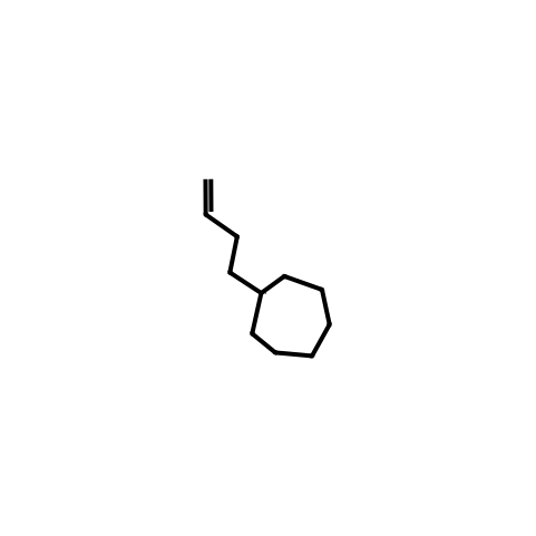 C=CCC[C]1CCCCCC1